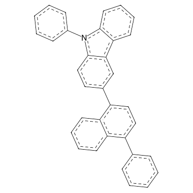 c1ccc(-c2ccc(-c3ccc4c(c3)c3ccccc3n4-c3ccccc3)c3ccccc23)cc1